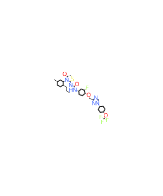 CCCc1ccc(C)cc1N1C(=O)CSC1=NC(=O)Nc1ccc(OCc2ncn(-c3ccc(OC(F)(F)F)cc3)n2)c(F)c1